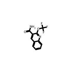 NC(=O)c1cc2ccccc2nc1OC(F)(F)F